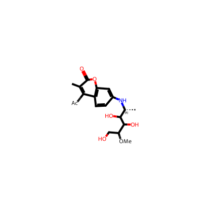 COC(CO)C(O)C(O)[C@@H](C)Nc1ccc2c(C(C)=O)c(C)c(=O)oc2c1